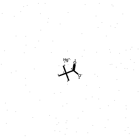 CC(C)(C)C(=O)[O-].[Hg+]